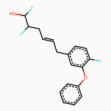 OC(F)C(F)CC=CCc1ccc(F)c(Oc2ccccc2)c1